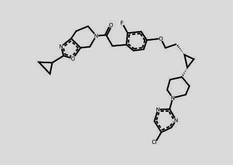 O=C(Cc1ccc(OCC[C@@H]2C[C@@H]2C2CCN(c3ncc(Cl)cn3)CC2)cc1F)N1CCc2nc(C3CC3)oc2C1